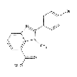 COC(=O)c1cccc2nc(-c3ccc(Br)cc3)n(C)c12